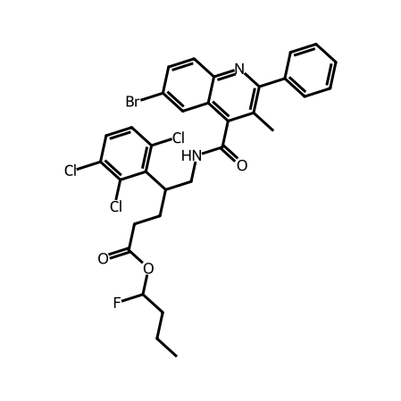 CCCC(F)OC(=O)CCC(CNC(=O)c1c(C)c(-c2ccccc2)nc2ccc(Br)cc12)c1c(Cl)ccc(Cl)c1Cl